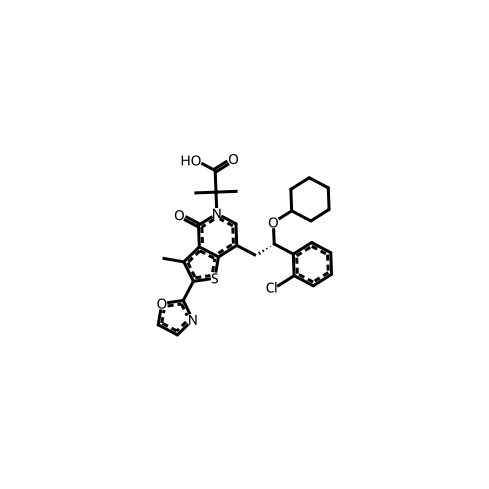 Cc1c(-c2ncco2)sc2c(C[C@H](OC3CCCCC3)c3ccccc3Cl)cn(C(C)(C)C(=O)O)c(=O)c12